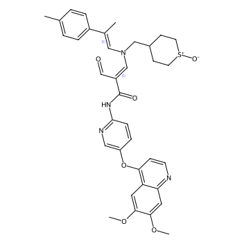 COc1cc2nccc(Oc3ccc(NC(=O)/C(C=O)=C/N(/C=C(\C)c4ccc(C)cc4)CC4CC[S+]([O-])CC4)nc3)c2cc1OC